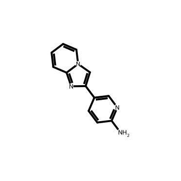 Nc1ccc(-c2cn3ccccc3n2)cn1